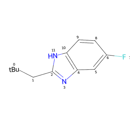 CC(C)(C)Cc1nc2cc(F)ccc2[nH]1